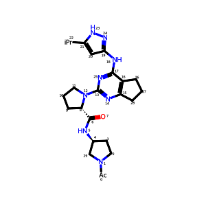 CC(=O)N1CC[C@H](NC(=O)[C@@H]2CCCN2c2nc3c(c(Nc4cc(C(C)C)[nH]n4)n2)CCC3)C1